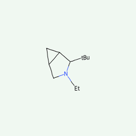 CCN1CC2CC2C1C(C)(C)C